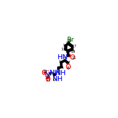 N=C(NCCCC(C=O)NC(=O)c1ccc(Br)cc1)N[N+](=O)[O-]